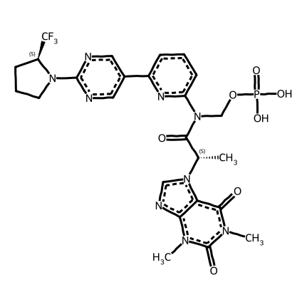 C[C@@H](C(=O)N(COP(=O)(O)O)c1cccc(-c2cnc(N3CCC[C@H]3C(F)(F)F)nc2)n1)n1cnc2c1c(=O)n(C)c(=O)n2C